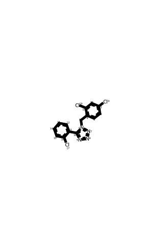 Clc1ccc(Cn2nnnc2-c2ccccc2Cl)c(Cl)c1